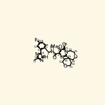 COc1c(C(=O)NCc2ccc(F)cc2-c2nc(C)n[nH]2)nc2n(c1=O)CCOCC21CCOCC1